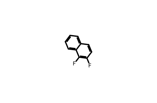 Fc1ccc2ccccc2c1F